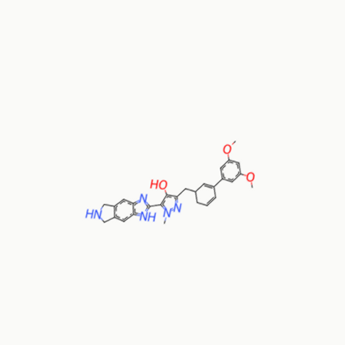 COc1cc(OC)cc(C2=CC(Cc3nn(C)c(-c4nc5cc6c(cc5[nH]4)CNC6)c3O)CC=C2)c1